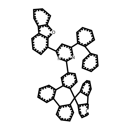 c1ccc(-c2ccccc2-c2cc(-c3cccc4c3oc3ccccc34)nc(-c3ccc4c(c3)-c3ccccc3-c3ccccc3C43c4ccccc4-c4ccccc43)n2)cc1